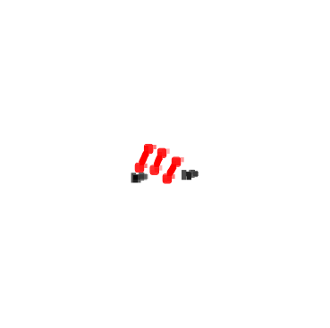 [In+3].[In+3].[O-][O-].[O-][O-].[O-][O-]